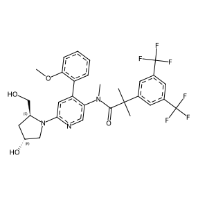 COc1ccccc1-c1cc(N2C[C@H](O)C[C@H]2CO)ncc1N(C)C(=O)C(C)(C)c1cc(C(F)(F)F)cc(C(F)(F)F)c1